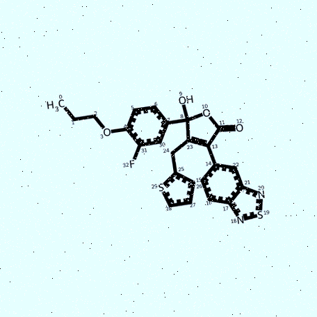 CCCOc1ccc(C2(O)OC(=O)C(c3ccc4nsnc4c3)=C2Cc2cccs2)cc1F